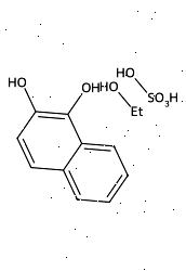 CCO.O=S(=O)(O)O.Oc1ccc2ccccc2c1O